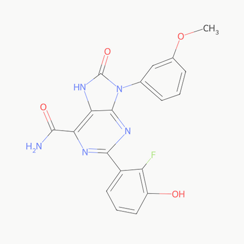 COc1cccc(-n2c(=O)[nH]c3c(C(N)=O)nc(-c4cccc(O)c4F)nc32)c1